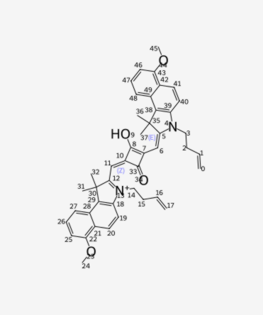 C=CCCN1/C(=C/C2=C(O)C(=C/C3=[N+](CCC=C)c4ccc5c(OC)cccc5c4C3(C)C)/C2=O)C(C)(C)c2c1ccc1c(OC)cccc21